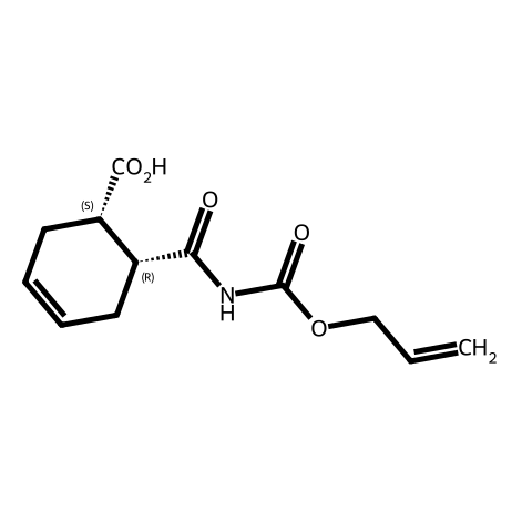 C=CCOC(=O)NC(=O)[C@@H]1CC=CC[C@@H]1C(=O)O